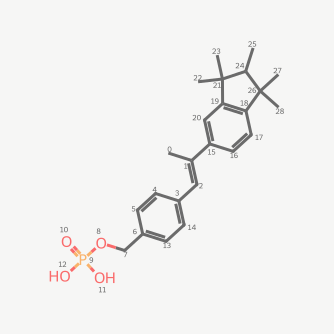 CC(=Cc1ccc(COP(=O)(O)O)cc1)c1ccc2c(c1)C(C)(C)C(C)C2(C)C